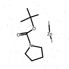 CC(C)(C)OC(=O)N1CCCC1.[I][Zn][I]